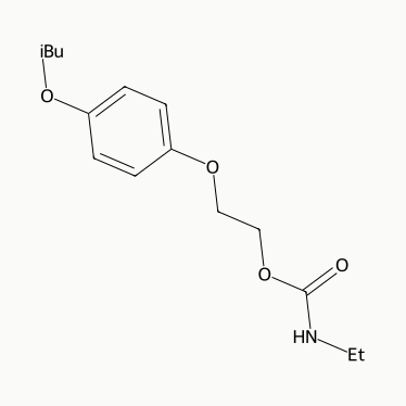 CCNC(=O)OCCOc1ccc(OC(C)CC)cc1